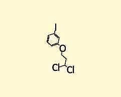 ClC(Cl)CCOc1cccc(I)c1